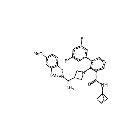 COc1ccc(CNC(C)C2CN(c3c(C(=O)NC45CC(C4)C5)cncc3-c3cc(F)cc(F)c3)C2)c(OC)c1